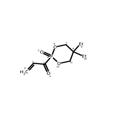 C=CC(=O)P1(=O)OCC(CC)(CC)CO1